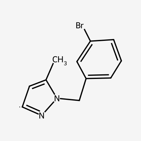 Cc1c[c]nn1Cc1cccc(Br)c1